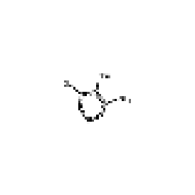 CCCCc1c(N)cccc1Cl